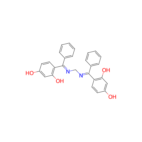 Oc1ccc(/C(=N/C/N=C(\c2ccccc2)c2ccc(O)cc2O)c2ccccc2)c(O)c1